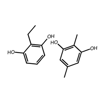 CCc1c(O)cccc1O.Cc1cc(O)c(C)c(O)c1